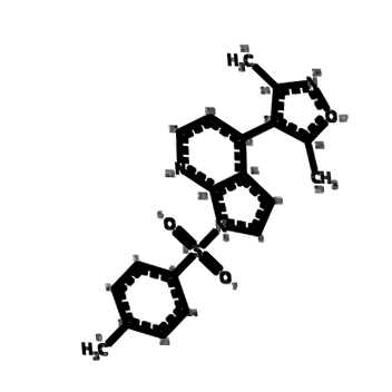 Cc1ccc(S(=O)(=O)n2ccc3c(-c4c(C)noc4C)ccnc32)cc1